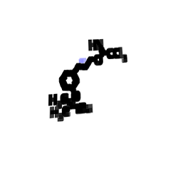 CC(C)(C)[Si](C)(C)Oc1cccc(/C=C/COC(=N)C(Cl)(Cl)Cl)c1